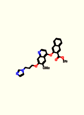 CCCOC(=O)c1cc2ccccc2cc1Oc1ccnc2cc(OCCCn3ccnc3)c(OC)cc12